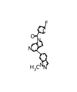 Cn1ncc2ccc(-c3cncc4c3ccn4C(=O)c3ccc(F)cc3)cc21